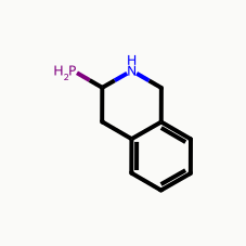 PC1Cc2ccccc2CN1